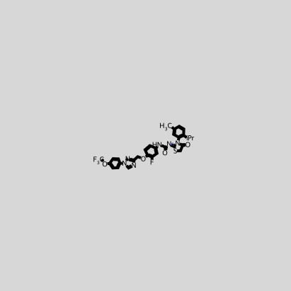 Cc1ccc(C(C)C)c(N2C(=O)CS/C2=N\C(=O)Nc2ccc(OCc3ncn(-c4ccc(OC(F)(F)F)cc4)n3)c(F)c2)c1